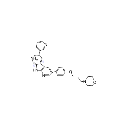 C=C(/C=c1\c(=C/N)[nH]c2ncc(-c3ccc(OCCCN4CCOCC4)cc3)cc12)c1cccnc1